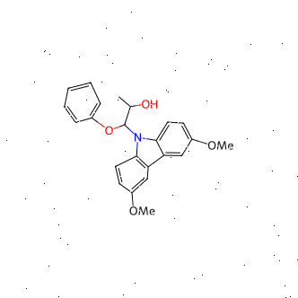 COc1ccc2c(c1)c1cc(OC)ccc1n2C(Oc1ccccc1)C(C)O